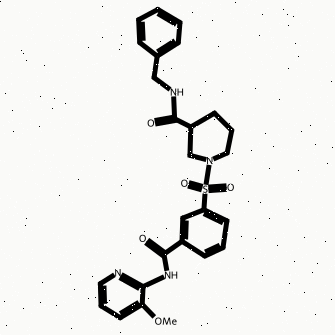 COc1cccnc1NC(=O)c1cccc(S(=O)(=O)N2CCCC(C(=O)NCc3ccccc3)C2)c1